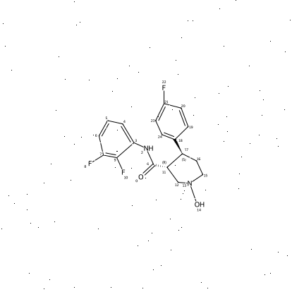 O=C(Nc1cccc(F)c1F)[C@H]1CN(O)CC[C@@H]1c1ccc(F)cc1